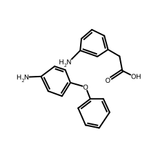 Nc1ccc(Oc2ccccc2)cc1.Nc1cccc(CC(=O)O)c1